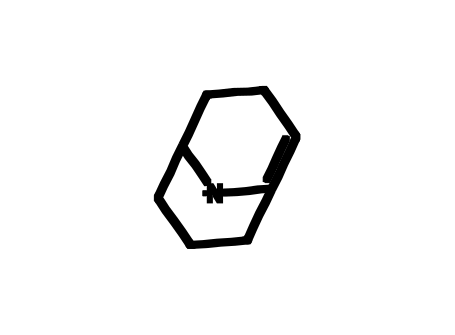 C1=C2CCCC(CC1)[N]2